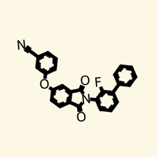 N#Cc1cccc(Oc2ccc3c(c2)C(=O)N(c2cccc(-c4ccccc4)c2F)C3=O)c1